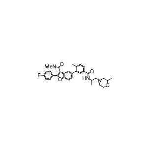 CNC(=O)c1c(-c2ccc(F)cc2)oc2ccc(-c3cc(C(=O)NC(C)CN4CCOC(C)C4)ccc3C)cc12